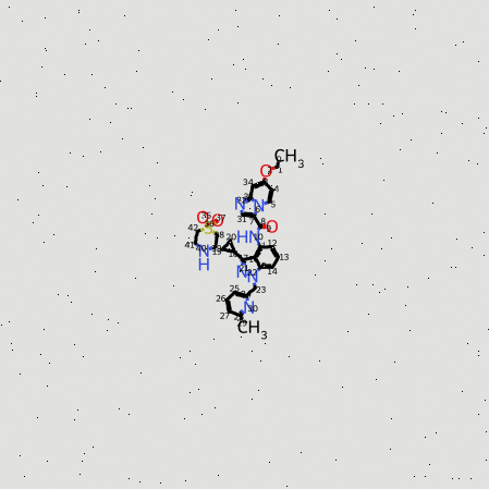 CCOc1ccn2c(C(=O)Nc3cccc4c3c(C3CC3)nn4Cc3cccc(C)n3)cnc2c1.O=S1(=O)CCNCC1